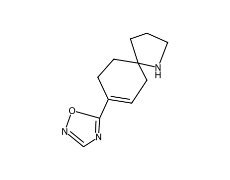 C1=C(c2ncno2)CCC2(C1)CCCN2